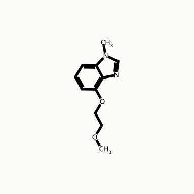 COCCOc1cccc2c1ncn2C